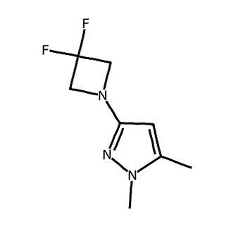 Cc1cc(N2CC(F)(F)C2)nn1C